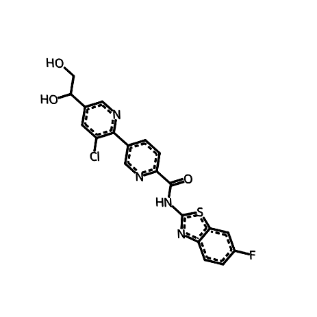 O=C(Nc1nc2ccc(F)cc2s1)c1ccc(-c2ncc(C(O)CO)cc2Cl)cn1